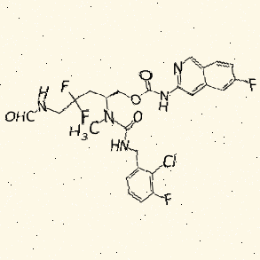 CN(C(=O)NCc1cccc(F)c1Cl)[C@H](COC(=O)Nc1cc2cc(F)ccc2cn1)CC(F)(F)CNC=O